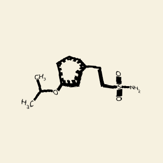 CC(C)Oc1cccc(C=CS(N)(=O)=O)c1